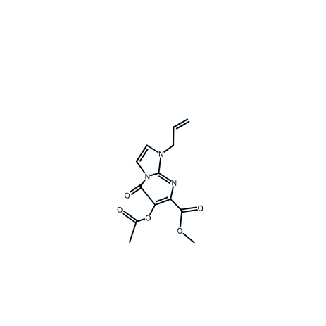 C=CCn1ccn2c(=O)c(OC(C)=O)c(C(=O)OC)nc12